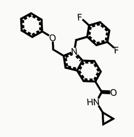 O=C(NC1CC1)c1ccc2c(c1)cc(COc1ccccc1)n2Cc1cc(F)ccc1F